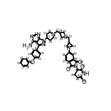 Nc1ncnc2c1c(-c1ccc(Oc3ccccc3)cc1)nn2C1CCN(CC2CN(CC3CN(c4ccc5c(c4)C(=O)N(C4CCC(=O)NC4=O)C5=O)C3)C2)CC1